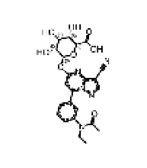 CCN(C(C)=O)c1cccc(-c2cc(O[C@@H]3O[C@H](C(=O)O)[C@@H](O)[C@H](O)[C@H]3O)nc3c(C#N)cnn23)c1